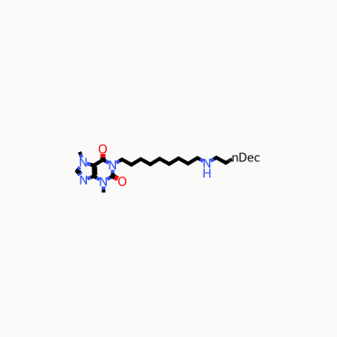 CCCCCCCCCCCCNCCCCCCCCCn1c(=O)c2c(ncn2C)n(C)c1=O